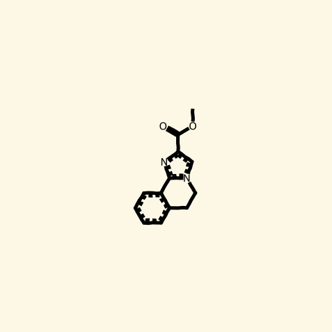 COC(=O)c1cn2c(n1)-c1ccccc1CC2